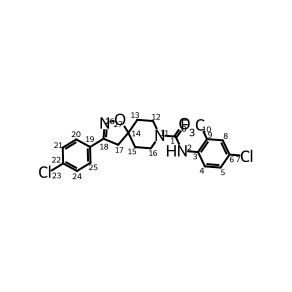 O=C(Nc1ccc(Cl)cc1C(F)(F)F)N1CCC2(CC1)CC(c1ccc(Cl)cc1)=NO2